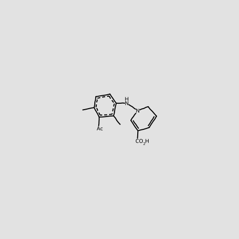 CC(=O)c1c(C)ccc(NN2C=C(C(=O)O)C=CC2)c1C